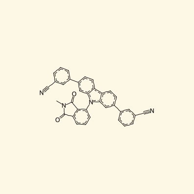 CN1C(=O)c2cccc(-n3c4cc(-c5cccc(C#N)c5)ccc4c4ccc(-c5cccc(C#N)c5)cc43)c2C1=O